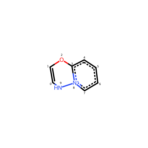 C1=COc2cccc[n+]2N1